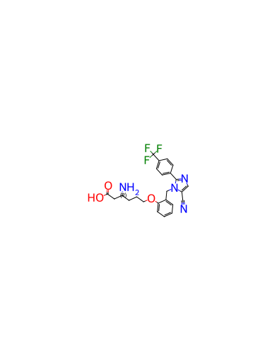 N#Cc1cnc(-c2ccc(C(F)(F)F)cc2)n1Cc1ccccc1OCCC[C@@H](N)CC(=O)O